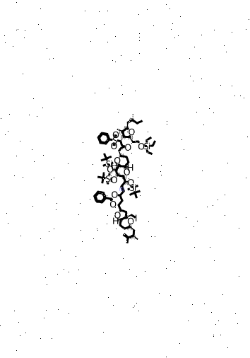 C=C(C)[C@H](C)C[C@H]1CC[C@@H]2OC(CCC(/C=C/[C@H](O[Si](C)(C)C(C)(C)C)[C@@H]3O[C@H]4CC[C@H](CC(=O)C([C@@H]5[C@@H](C)[C@@H](C[C@H](C)CC)O[C@H]5CCO[Si](CC)(CC)CC)S(=O)(=O)c5ccccc5)O[C@@H]4[C@H](O[Si](C)(C)C(C)(C)C)[C@@H]3O[Si](C)(C)C(C)(C)C)OC(=O)c3ccccc3)C[C@]2(CI)O1